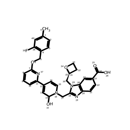 Cc1ccc(COc2cccc(C3=CC(O)N(Cc4nc5ccc(C(=O)O)cc5n4C[C@@H]4CCO4)C=C3)n2)c(F)c1